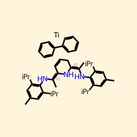 C/C(Nc1c(C(C)C)cc(C)cc1C(C)C)=C1\CC=C/C(=C(/C)Nc2c(C(C)C)cc(C)cc2C(C)C)N1.[Ti].c1ccc(-c2ccccc2)cc1